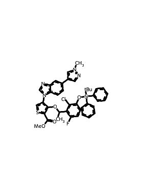 COC(=O)c1scc(-n2cnc3cc(-c4cnn(C)c4)ccc32)c1OC(C)c1c(F)ccc(O[Si](c2ccccc2)(c2ccccc2)C(C)(C)C)c1Cl